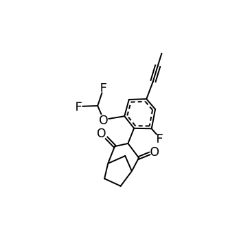 CC#Cc1cc(F)c(C2C(=O)C3CCC(C3)C2=O)c(OC(F)F)c1